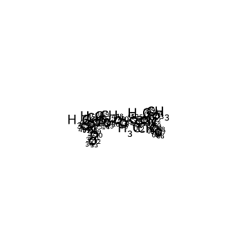 CC1(C)c2cc(-c3ccc4cc(-c5ccc6c(c5)C(C)(C)c5cc7c(cc5-6)N(c5ccc6ccccc6c5)c5ccccc5C7(C)C)ccc4c3)ccc2-c2cc3c(cc21)N(c1ccc2ccccc2c1)c1ccccc1C3(C)C